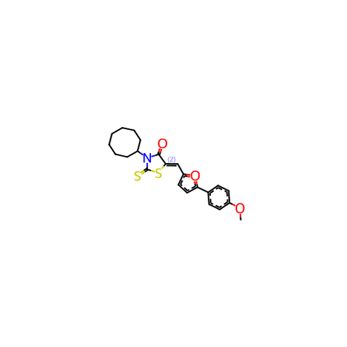 COc1ccc(-c2ccc(/C=C3\SC(=S)N(C4CCCCCCC4)C3=O)o2)cc1